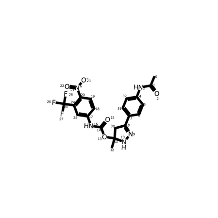 CC(=O)Nc1ccc(C2=NNC(C)(OC(=O)Nc3ccc([N+](=O)[O-])c(C(F)(F)F)c3)C2)cc1